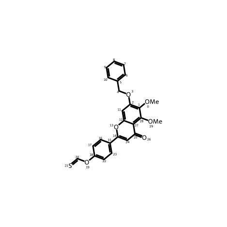 COc1c(OCc2ccccc2)cc2oc(-c3ccc(OC=S)cc3)cc(=O)c2c1OC